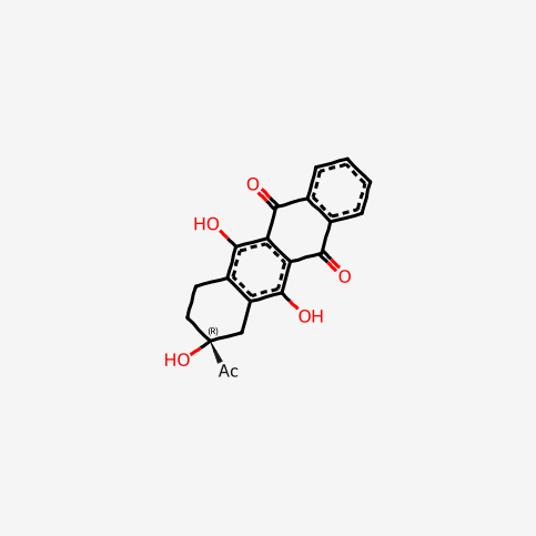 CC(=O)[C@@]1(O)CCc2c(O)c3c(c(O)c2C1)C(=O)c1ccccc1C3=O